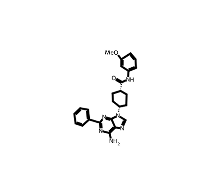 COc1cccc(NC(=O)[C@H]2CC[C@@H](n3cnc4c(N)nc(-c5ccccc5)nc43)CC2)c1